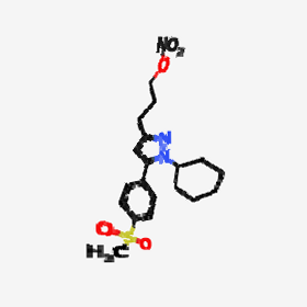 CS(=O)(=O)c1ccc(-c2cc(CCCO[N+](=O)[O-])nn2C2CCCCC2)cc1